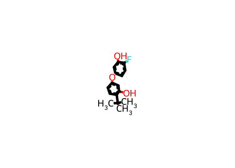 CC(C)(C)c1ccc(Oc2ccc(F)c(O)c2)cc1O